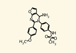 COc1ccc(C2=Nc3occc3C(N)N2c2ccc(NS(C)(=O)=O)cc2)cc1